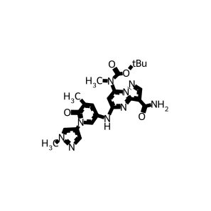 Cc1cc(Nc2cc(N(C)C(=O)OC(C)(C)C)n3ncc(C(N)=O)c3n2)cn(-c2cnn(C)c2)c1=O